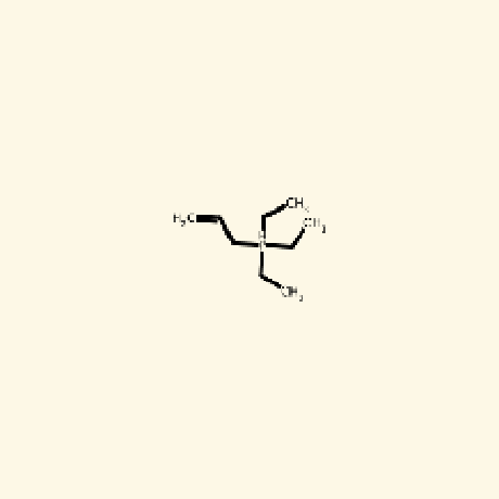 C=CC[PH](CC)(CC)CC